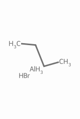 Br.CCCC.[AlH3]